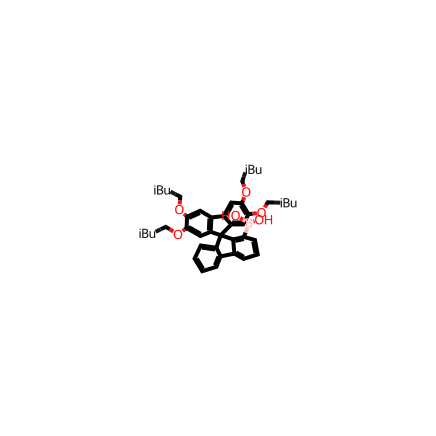 CCC(C)COc1cc2c(cc1OCC(C)CC)C1(c3cc(OCC(C)CC)c(OCC(C)CC)cc3-2)c2ccccc2-c2cccc(B(O)O)c21